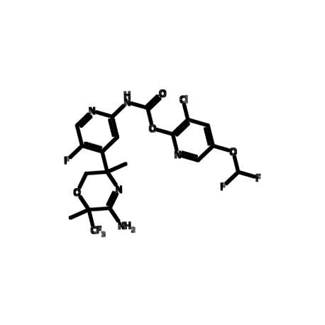 CC1(c2cc(NC(=O)Oc3ncc(OC(F)F)cc3Cl)ncc2F)COC(C)(C(F)(F)F)C(N)=N1